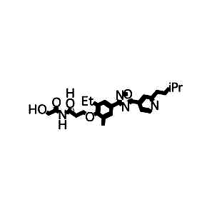 CCc1cc(-c2noc(-c3ccnc(CCC(C)C)c3)n2)cc(C)c1OCC[C@H](O)NC(=O)CO